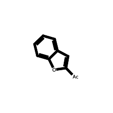 CC(=O)c1cc2c[c]ccc2o1